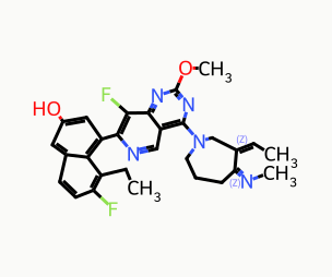 C/C=C1/CN(c2nc(OC)nc3c(F)c(-c4cc(O)cc5ccc(F)c(CC)c45)ncc23)CCC/C1=N/C